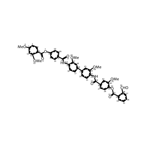 COc1ccc(C(=O)Oc2ccc(C(=O)Nc3ccc(-c4ccc(NC(=O)c5ccc(OC(=O)c6ccccc6C=O)c(OC)c5)c(OC)c4)cc3OC)cc2)c(OC)c1